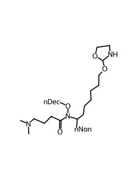 CCCCCCCCCCON(C(=O)CCCN(C)C)C(CCCCCCCCC)CCCCCCOC1NCCO1